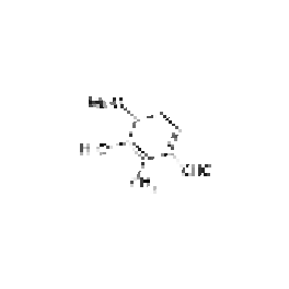 COC1CC=C(C=O)C(C)=C1C